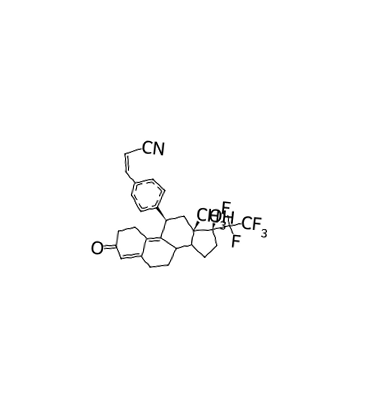 C[C@]12C[C@H](c3ccc(/C=C\C#N)cc3)C3=C4CCC(=O)C=C4CCC3C1CC[C@@]2(O)C(F)(F)C(F)(F)F